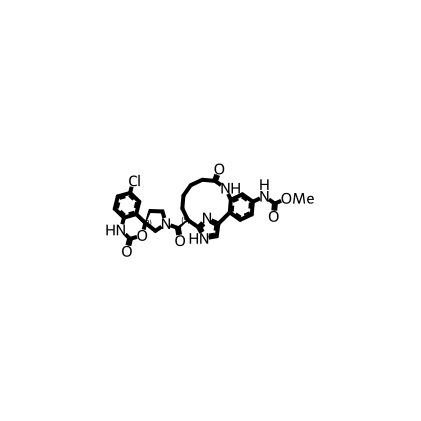 COC(=O)Nc1ccc2c(c1)NC(=O)CCCC[C@H](C(=O)N1CC[C@@]3(C1)OC(=O)Nc1ccc(Cl)cc13)c1nc-2c[nH]1